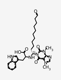 Cn1cnc2c1c(=O)n([C@@H](CCCCCCCCCC=O)NC(Cc1c[nH]c3ccccc13)C(=O)O)c(=O)n2C